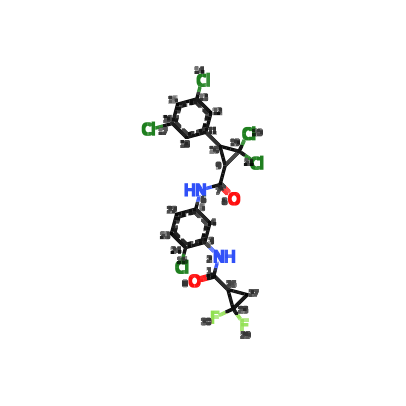 O=C(Nc1cc(NC(=O)C2C(c3cc(Cl)cc(Cl)c3)C2(Cl)Cl)ccc1Cl)C1CC1(F)F